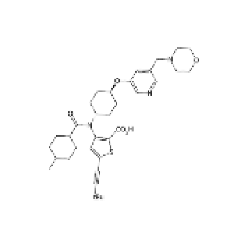 CC1CCC(C(=O)N(c2cc(C#CC(C)(C)C)sc2C(=O)O)[C@H]2CC[C@H](Oc3cncc(CN4CCOCC4)c3)CC2)CC1